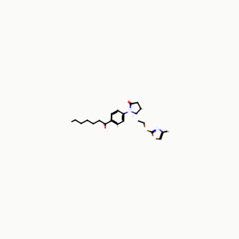 CCCCCCC(O)c1ccc(N2C(=O)CC[C@@H]2CCSc2nc(C)cs2)cc1